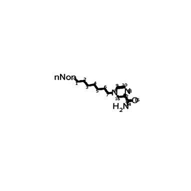 CCCCCCCCCCCCCCCCN1C=CN=C(C(N)=O)C1